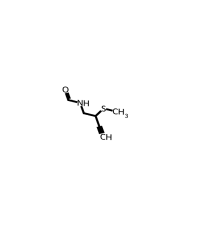 C#CC(CNC=O)SC